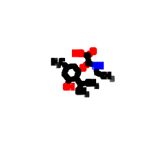 CC1CCC(C(C)C)C(O)C1.CCNC(=O)C(=O)O